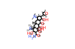 CN(C)c1cc(-c2ccoc2)c(O)c2c1C[C@@H]1C[C@@H]3[C@@H](N(C)C)C(O)=C(C(N)=O)C(=O)[C@@]3(O)C(O)=C1C2=O